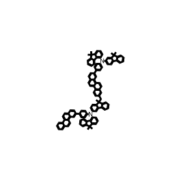 CC1(C)c2ccccc2-c2ccc(N(c3ccc(-c4ccc5ccc6c7ccc(CC8(C)c9ccccc9-c9cc(N(c%10ccc(-c%11ccc%12ccc%13c%14ccccc%14ccc%13c%12c%11)cc%10)c%10cccc%11c%10-c%10ccccc%10C%11(C)C)ccc98)cc7ccc6c5c4)cc3)c3cccc4c3-c3ccccc3C4(C)C)cc21